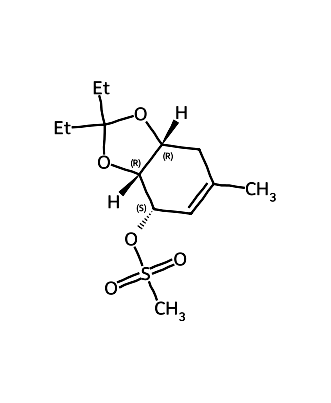 CCC1(CC)O[C@H]2[C@@H](OS(C)(=O)=O)C=C(C)C[C@H]2O1